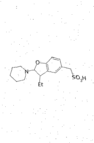 CCC1c2cc(CS(=O)(=O)O)ccc2OC1N1CCCCC1